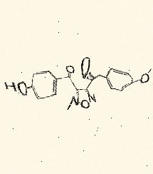 COc1ccc(C(=O)c2nonc2C(=O)c2ccc(O)cc2)cc1